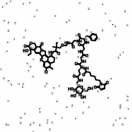 CC[C@@]1(O)C(=O)OCc2c1cc1n(c2=O)Cc2c-1nc1cc(Cl)c(C)c3c1c2[C@@H](NC(=O)C(C)(F)COCNC(=O)CNC(=O)[C@H](Cc1ccccc1)NC(=O)CNC(=O)CNC(=O)[C@H](CCC(=O)NC[C@@H]1O[C@H](CO)[C@@H](O)[C@H](O)[C@H]1O)NC(=O)CCCCCN1C(=O)C=CC1=O)CC3